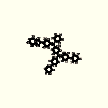 c1ccc(-c2ccc(N(c3ccc(-c4ccccc4)cc3)c3ccc(N(c4ccccc4)c4ccc(-c5cn6ccccc6n5)cc4)cc3)cc2)cc1